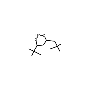 CC(C)(C)CC1CC(C(C)(C)C)OPO1